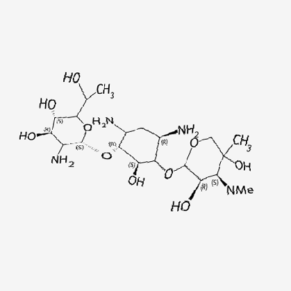 CN[C@H]1[C@@H](O)C(OC2[C@H](N)CC(N)[C@@H](O[C@H]3OC(C(C)O)[C@@H](O)[C@H](O)C3N)[C@@H]2O)OCC1(C)O